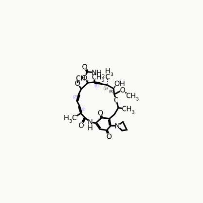 COC1/C=C\C=C(/C)C(=O)NC2=CC(=O)C(N3CCC3)=C(CC(C)CC(OC)[C@H](O)[C@@H](C)/C=C(\C)C1OC(N)=O)C2=O